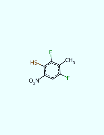 Cc1c(F)cc([N+](=O)[O-])c(S)c1F